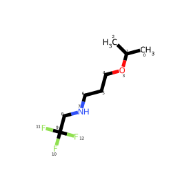 CC(C)OCCCNCC(F)(F)F